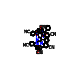 N#Cc1ccc2c(c1)c1cc(C#N)ccc1n2-c1nc(-n2c3ccc(C#N)cc3c3cc(C#N)ccc32)c(-n2c3ccc(C#N)cc3c3cc(C#N)ccc32)c(-c2ccccc2-c2cc(-c3ccccc3)nc(-c3ccccc3)c2)c1-n1c2ccc(C#N)cc2c2cc(C#N)ccc21